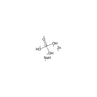 O=P(O)(O)O.[NaH].[Zn]